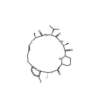 CC(C)[C@@H]1NC(=O)[C@H](C)C/C=C/COc2ccc(F)c(c2)[C@@H](C)OC(=O)[C@@H]2CCCN(N2)C(=O)[C@H](C)NC1=O